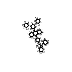 c1ccc(-c2cc(-c3ccccc3)cc(-c3c4ccccc4c(-c4ccc(-c5nc6ccccc6n5-c5ccccc5)cc4)c4ccccc34)c2)cc1